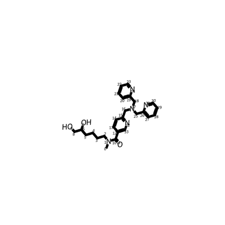 CN(CCCCC(O)CO)C(=O)c1ccc(CN(Cc2ccccn2)Cc2ccccn2)nc1